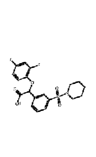 O=C(O)C(Oc1ccc(F)cc1F)c1cccc(S(=O)(=O)N2CCCCC2)c1